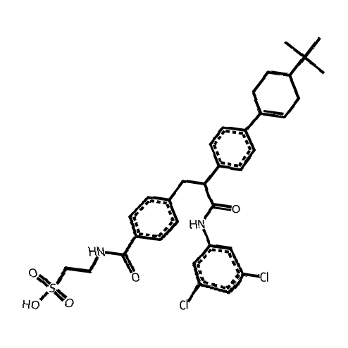 CC(C)(C)C1CC=C(c2ccc(C(Cc3ccc(C(=O)NCCS(=O)(=O)O)cc3)C(=O)Nc3cc(Cl)cc(Cl)c3)cc2)CC1